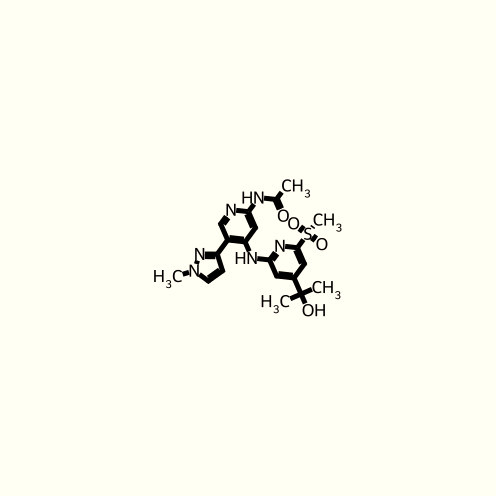 CC(=O)Nc1cc(Nc2cc(C(C)(C)O)cc(S(C)(=O)=O)n2)c(-c2ccn(C)n2)cn1